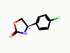 O=C1N[C@H](c2ccc(Cl)cc2)CO1